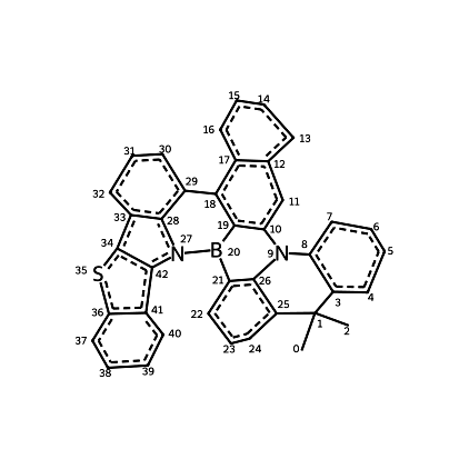 CC1(C)c2ccccc2N2c3cc4ccccc4c4c3B(c3cccc1c32)n1c2c-4cccc2c2sc3ccccc3c21